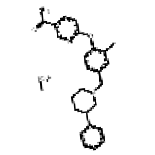 CS(=O)(=O)O.Cc1cc(CN2CCCC(c3ccccc3)C2)ccc1Oc1ccc(C(N)=O)cn1